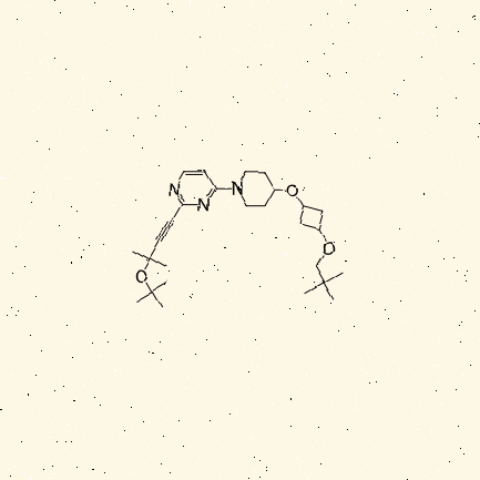 CC(C)(C)COC1CC(OC2CCN(c3ccnc(C#CC(C)(C)OC(C)(C)C)n3)CC2)C1